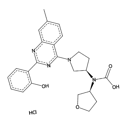 Cc1ccc2c(N3CC[C@@H](N(C(=O)O)[C@H]4CCOC4)C3)nc(-c3ccccc3O)nc2c1.Cl